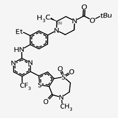 CCc1cc(N2CCN(C(=O)OC(C)(C)C)C[C@@H]2C)ccc1Nc1ncc(C(F)(F)F)c(-c2cc3c(s2)C(=O)N(C)CCS3(=O)=O)n1